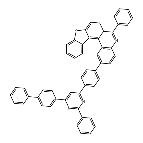 C1=c2sc3ccccc3c2=C2c3cc(-c4ccc(-c5cc(-c6ccc(-c7ccccc7)cc6)nc(-c6ccccc6)n5)cc4)ccc3N=C(c3ccccc3)C2C1